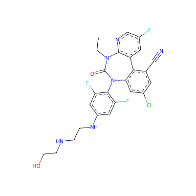 CCN1C(=O)N(c2c(F)cc(NCCNCCO)cc2F)c2cc(Cl)cc(C#N)c2-c2cc(F)cnc21